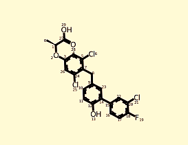 C[C@H](Oc1cc(Cl)c(Cc2ccc(O)c(-c3ccc(F)c(Cl)c3)c2)c(Cl)c1)C(=O)O